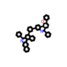 C1=C2c3ccccc3OC2C2C(=C1)C(c1ccccc1)=Nc1cc(-c3cccc(-c4cc5c(-c6ccccc6)nc6cc7ccccc7cc6c5c5ccccc45)c3)ccc12